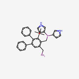 CC(C)(C)c1c(CP(c2cc[nH]c2)c2cc[nH]c2)c(CP)cc(-c2ccccc2)c1-c1ccccc1